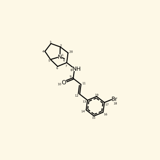 CN1C2CCC1CC(NC(=O)C=Cc1cccc(Br)c1)C2